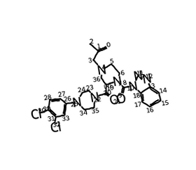 C=C(C)CN1CCN(C(=O)n2nnc3ccccc32)[C@@H](C(=O)N2CCN(c3ccc(Cl)c(Cl)c3)CC2)C1